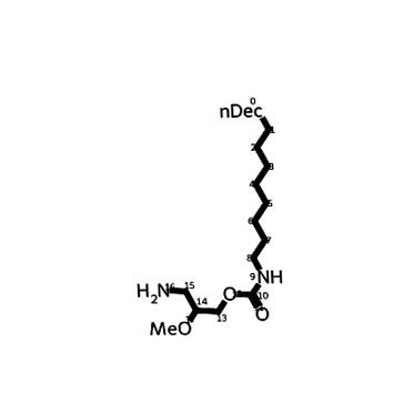 CCCCCCCCCCCCCCCCCCNC(=O)OCC(CN)OC